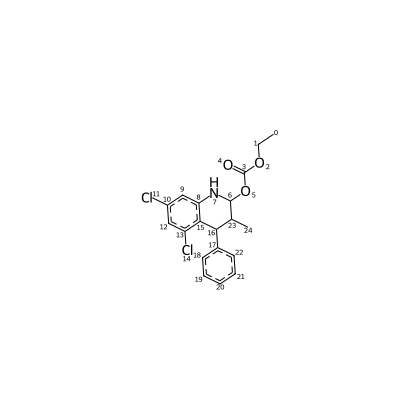 CCOC(=O)OC1Nc2cc(Cl)cc(Cl)c2C(c2ccccc2)C1C